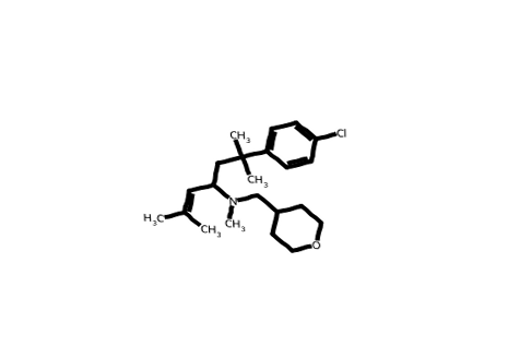 CC(C)=CC(CC(C)(C)c1ccc(Cl)cc1)N(C)CC1CCOCC1